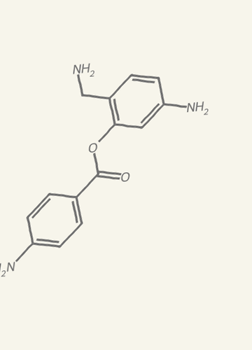 NCc1ccc(N)cc1OC(=O)c1ccc(N)cc1